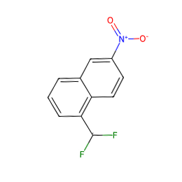 O=[N+]([O-])c1ccc2c([C](F)F)cccc2c1